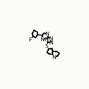 Fc1cccc(-c2cnc3nnc(Sc4ccc5ncccc5c4)n3n2)c1